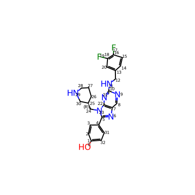 Oc1ccc(-c2nc3cnc(NCc4ccc(F)c(F)c4)nc3n2C[C@@H]2CCCNC2)cc1